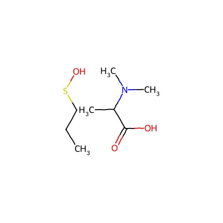 CC(C(=O)O)N(C)C.CCCSO